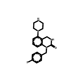 O=C1NCc2c(N3CCNCC3)cccc2N1Cc1ccc(F)cc1